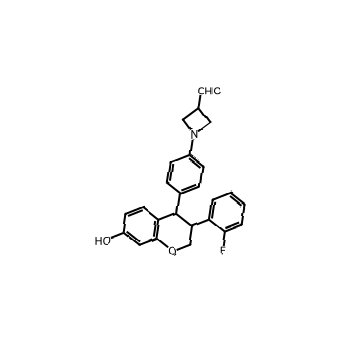 O=CC1CN(c2ccc(C3c4ccc(O)cc4OCC3c3ccccc3F)cc2)C1